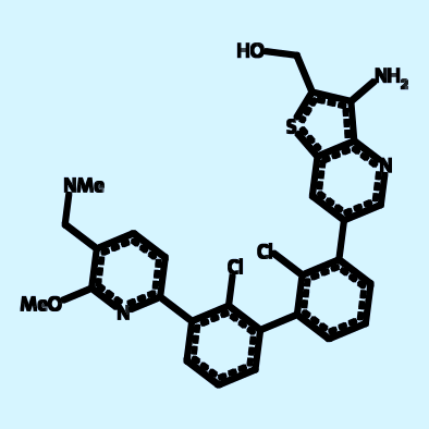 CNCc1ccc(-c2cccc(-c3cccc(-c4cnc5c(N)c(CO)sc5c4)c3Cl)c2Cl)nc1OC